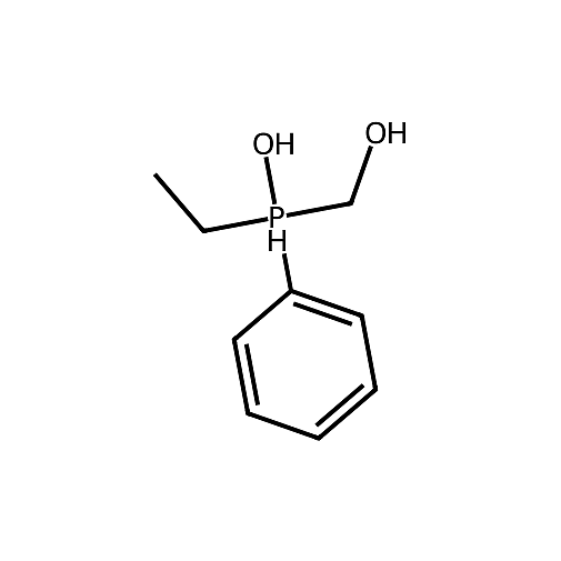 CC[PH](O)(CO)c1ccccc1